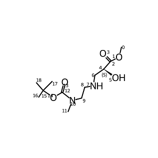 COC(=O)[C@@H](O)CNCCN(C)C(=O)OC(C)(C)C